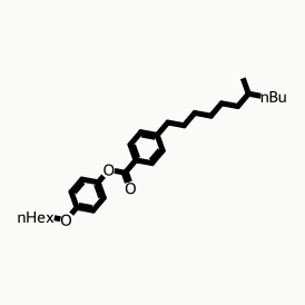 CCCCCCOc1ccc(OC(=O)c2ccc(CCCCCCC(C)CCCC)cc2)cc1